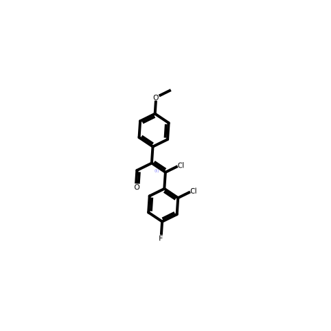 COc1ccc(/C(C=O)=C(\Cl)c2ccc(F)cc2Cl)cc1